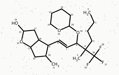 CCCCC(C)(C(/C=C/C1C(C)CC2OC(O)CC21)OC1CCCCO1)C(F)(F)F